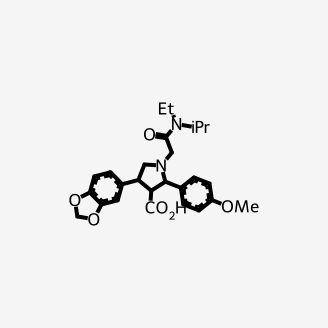 CCN(C(=O)CN1CC(c2ccc3c(c2)OCO3)C(C(=O)O)C1c1ccc(OC)cc1)C(C)C